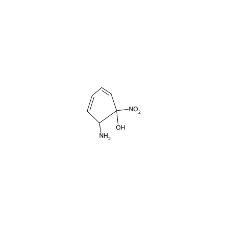 NC1C=CC=CC1(O)[N+](=O)[O-]